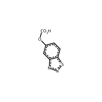 O=C(O)Oc1ccc2snnc2c1